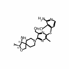 Cc1nc(N2CCC3(CC2)CO[C@@H](I)[C@H]3N)c(CO)nc1Sc1ccnc(N)c1Cl